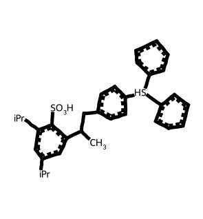 CC(C)c1cc(C(C)C)c(S(=O)(=O)O)c(C(C)Cc2ccc([SH](c3ccccc3)c3ccccc3)cc2)c1